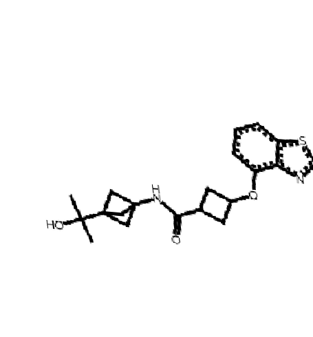 CC(C)(O)C12CC(NC(=O)C3CC(Oc4cccc5scnc45)C3)(C1)C2